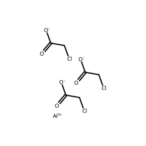 O=C([O-])CCl.O=C([O-])CCl.O=C([O-])CCl.[Al+3]